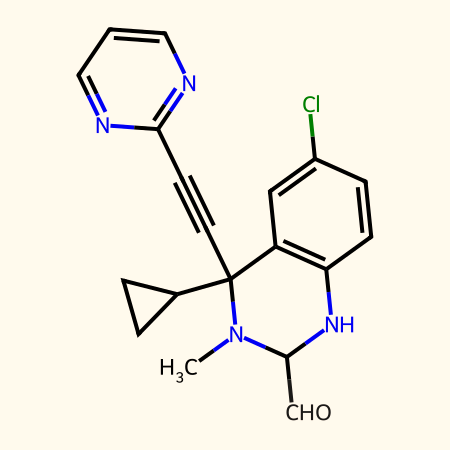 CN1C(C=O)Nc2ccc(Cl)cc2C1(C#Cc1ncccn1)C1CC1